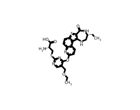 CCOCc1cnc(SC[C@H](N)C(=O)O)nc1Oc1ccc2c(ccc3sc4c(c32)NC[C@@H](CC)NC4=O)n1